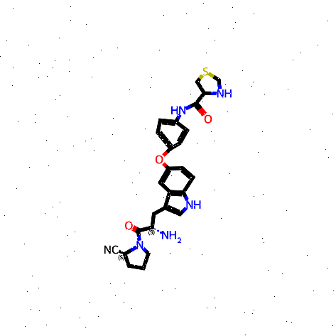 N#C[C@@H]1CCCN1C(=O)[C@@H](N)Cc1c[nH]c2ccc(Oc3ccc(NC(=O)C4CSCN4)cc3)cc12